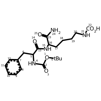 CC(C)(C)OC(=O)NC(Cc1ccccc1)C(=O)NC(CCCCNC(=O)O)C(N)=O